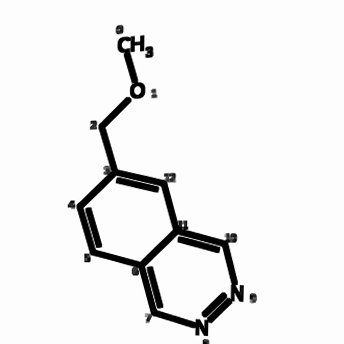 COCc1ccc2cnncc2c1